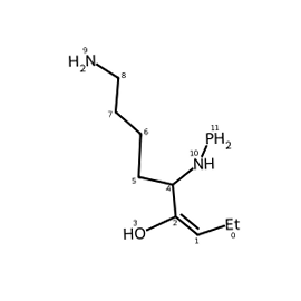 CC/C=C(/O)C(CCCCN)NP